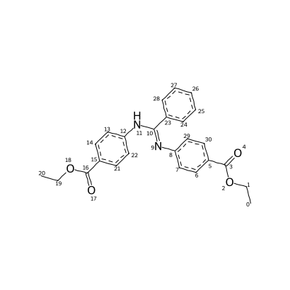 CCOC(=O)c1ccc(/N=C(/Nc2ccc(C(=O)OCC)cc2)c2ccccc2)cc1